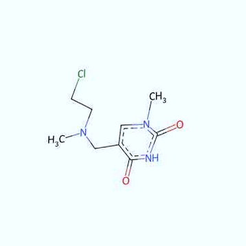 CN(CCCl)Cc1cn(C)c(=O)[nH]c1=O